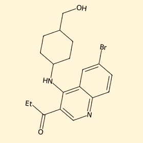 CCC(=O)c1cnc2ccc(Br)cc2c1NC1CCC(CO)CC1